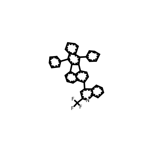 FC(F)(F)c1cc(-c2ccc3c4c(cccc24)-c2c-3c(-c3ccccc3)c3ccccc3c2-c2ccccc2)c2ccccc2n1